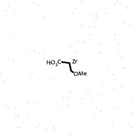 COCCC(=O)O.[Zr]